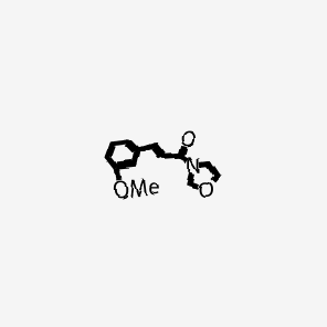 COc1cccc(C=CC(=O)N2CCOC2)c1